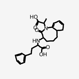 CC(C(=O)O)N1C(=O)C(NC(CCc2ccccc2)C(=O)O)CCCC2CC=CC=C21